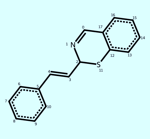 C1=NC(/C=C/c2ccccc2)Sc2ccccc21